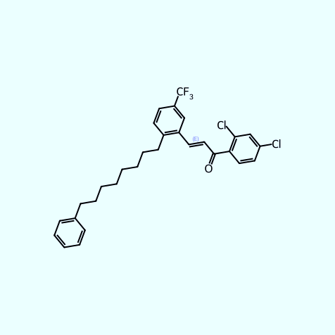 O=C(/C=C/c1cc(C(F)(F)F)ccc1CCCCCCCCc1ccccc1)c1ccc(Cl)cc1Cl